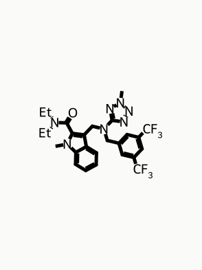 CCN(CC)C(=O)c1c(CN(Cc2cc(C(F)(F)F)cc(C(F)(F)F)c2)c2nnn(C)n2)c2ccccc2n1C